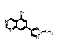 Cn1cc(-c2cc(Br)c3cncnc3c2)cn1